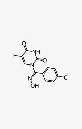 O=c1[nH]c(=O)n(/C(=N/O)c2ccc(Cl)cc2)cc1I